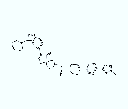 Cn1cnc(-c2ccc(C3=CCN(C(=O)CN4CCC5(CCN(c6ccc7[nH]nc(C8CCOCC8)c7n6)C5=O)C4)CC3)cc2)n1